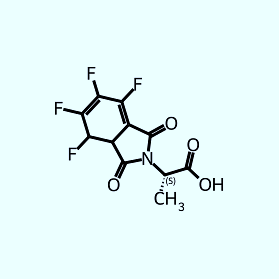 C[C@@H](C(=O)O)N1C(=O)C2=C(F)C(F)=C(F)C(F)C2C1=O